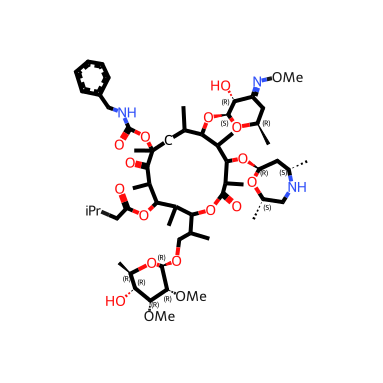 CON=C1C[C@@H](C)O[C@@H](OC2C(C)CC(C)(OC(=O)NCc3ccccc3)C(=O)C(C)C(OC(=O)CC(C)C)C(C)C(C(C)CO[C@@H]3O[C@H](C)[C@@H](O)[C@@H](OC)[C@H]3OC)OC(=O)C(C)C(O[C@H]3C[C@H](C)NC[C@H](C)O3)C2C)[C@@H]1O